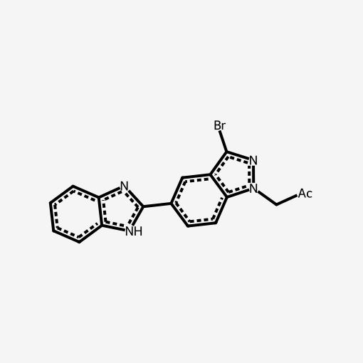 CC(=O)Cn1nc(Br)c2cc(-c3nc4ccccc4[nH]3)ccc21